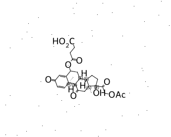 CC(=O)OCC(=O)[C@@]1(O)CC[C@H]2[C@@H]3CC(OC(=O)CCC(=O)O)C4=CC(=O)C=C[C@]4(C)[C@H]3C(=O)C[C@@]21C